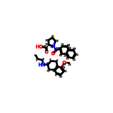 CCCNC1CCc2c(cccc2OC)C1.O=C(O)[C@@H]1CCCN1C(=O)c1ccc2ccccc2c1